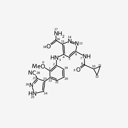 COc1c(Nc2cc(NC(=O)C3CC3)nnc2C(N)=O)cccc1-c1c[nH]nc1C#N